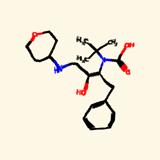 CC(C)(C)N(C(=O)O)[C@@H](Cc1ccccc1)[C@@H](O)CNC1CCOCC1